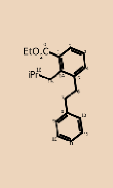 CCOC(=O)c1cccc(CCc2ccccc2)c1CC(C)C